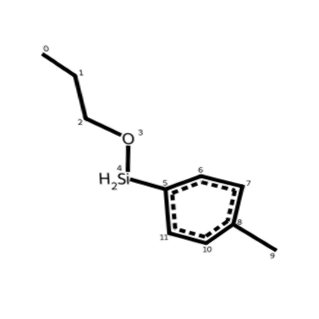 CCCO[SiH2]c1ccc(C)cc1